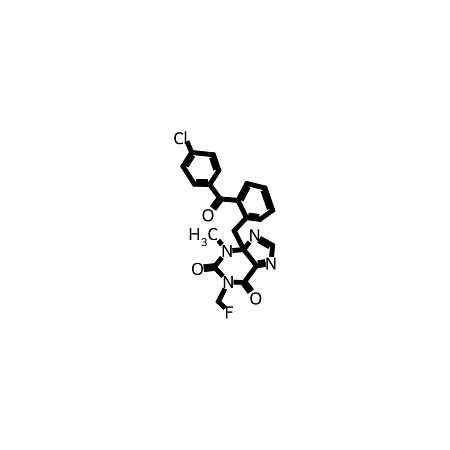 CN1C(=O)N(CF)C(=O)C2=NC=NC21Cc1ccccc1C(=O)c1ccc(Cl)cc1